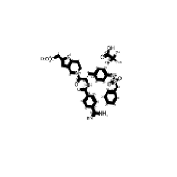 CCOC(=O)Cc1cc2c(s1)CCN(C(=O)[C@H](Cc1ccc(NS(=O)(=O)Cc3ccccc3)cc1)NC(=O)c1ccc(C(=N)N)cc1)C2.O=C(O)C(F)(F)F